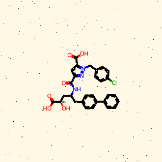 O=C(NC(Cc1ccc(-c2ccccc2)cc1)C[C@@H](O)C(=O)O)c1cc(C(=O)O)n(Cc2ccc(Cl)cc2)n1